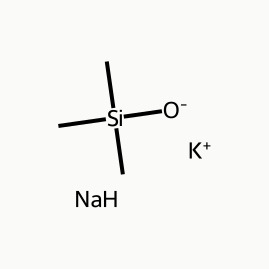 C[Si](C)(C)[O-].[K+].[NaH]